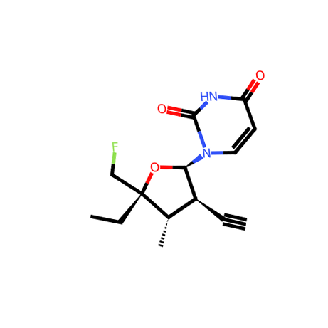 C#C[C@@H]1[C@H](n2ccc(=O)[nH]c2=O)O[C@@](CC)(CF)[C@H]1C